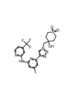 Cc1cc(Nc2cc(C(F)(F)F)ccn2)nc(-c2cn(CC3(O)CCS(=O)(=O)CC3)nn2)c1